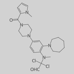 CN(c1ccc(N2CCN(C(=O)c3cccn3C)CC2)cc1N1CCCCCC1)C(Cl)(Cl)C=O